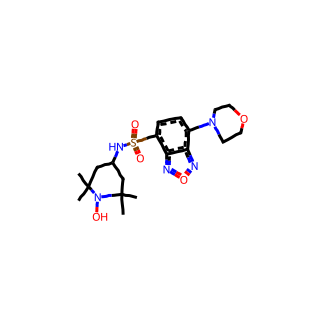 CC1(C)CC(NS(=O)(=O)c2ccc(N3CCOCC3)c3nonc23)CC(C)(C)N1O